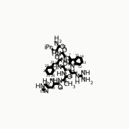 CC(C)C[C@H](NC(=O)[C@H](Cc1c[nH]c2ccccc12)NC(=O)[C@H](Cc1ccccc1)NC(=O)[C@H](CCCNC(=N)N)NC(=O)[C@H](C)NC(=O)[C@@H](N)Cc1c[nH]cn1)C(N)=O